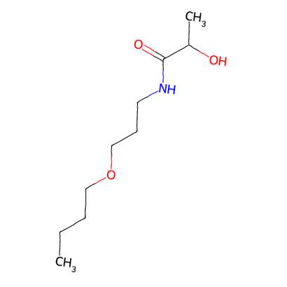 CCCCOCCCNC(=O)C(C)O